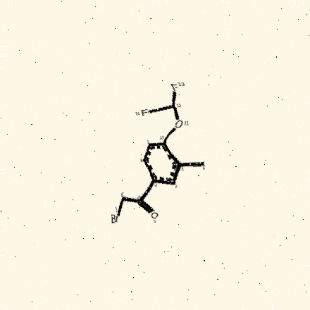 Cc1cc(C(=O)CBr)ccc1OC(F)F